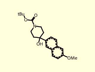 COc1ccc2cc(C3(O)CCN(C(=O)OC(C)(C)C)CC3)ccc2c1